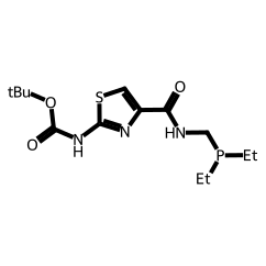 CCP(CC)CNC(=O)c1csc(NC(=O)OC(C)(C)C)n1